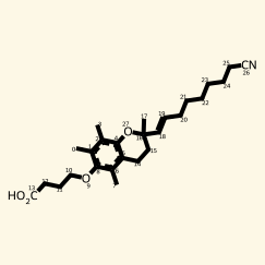 Cc1c(C)c2c(c(C)c1OCCCC(=O)O)CCC(C)(/C=C/CCCCCCC#N)O2